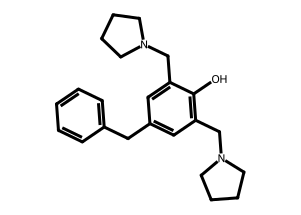 Oc1c(CN2CCCC2)cc(Cc2ccccc2)cc1CN1CCCC1